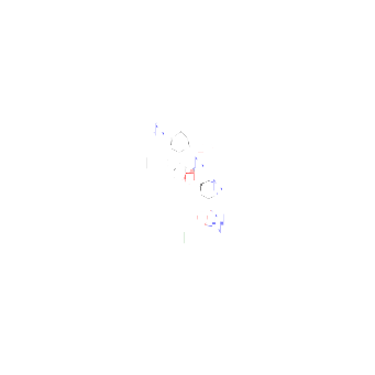 CC1(C)C(=O)N(Cc2ccc(-c3nnc(C(F)F)o3)cn2)C(=O)c2ccc(N3CCC3)cc21